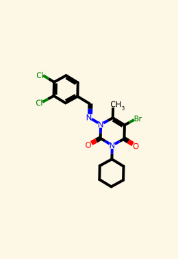 Cc1c(Br)c(=O)n(C2CCCCC2)c(=O)n1N=Cc1ccc(Cl)c(Cl)c1